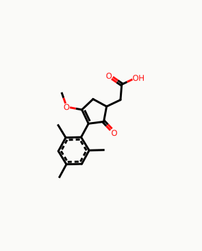 COC1=C(c2c(C)cc(C)cc2C)C(=O)C(CC(=O)O)C1